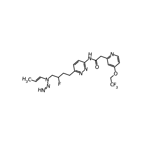 C/C=C/N(CC(F)CCc1ccc(NC(=O)Cc2cc(OCC(F)(F)F)ccn2)nn1)N=N